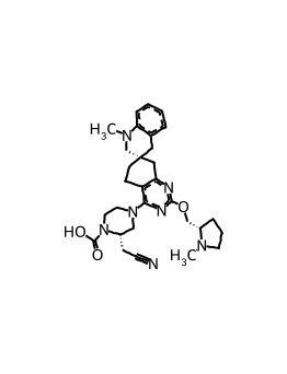 CN1C[C@]2(CCc3c(nc(OC[C@@H]4CCCN4C)nc3N3CCN(C(=O)O)[C@@H](CC#N)C3)C2)Cc2ccccc21